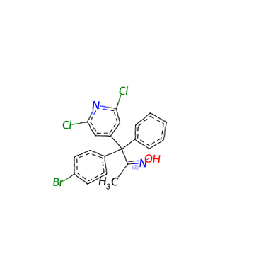 C/C(=N/O)C(c1ccccc1)(c1ccc(Br)cc1)c1cc(Cl)nc(Cl)c1